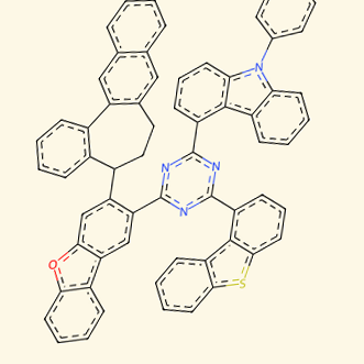 c1ccc(-n2c3ccccc3c3c(-c4nc(-c5cc6c(cc5C5CCc7cc8ccccc8cc7-c7ccccc75)oc5ccccc56)nc(-c5cccc6sc7ccccc7c56)n4)cccc32)cc1